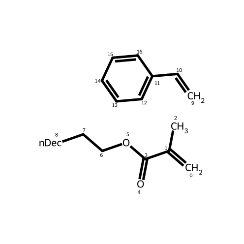 C=C(C)C(=O)OCCCCCCCCCCCC.C=Cc1ccccc1